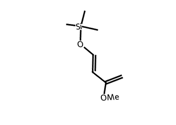 C=C(C=CO[Si](C)(C)C)OC